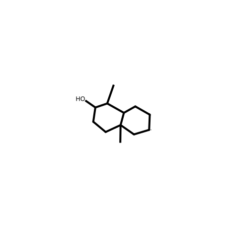 CC1C(O)CCC2(C)C[CH]CCC12